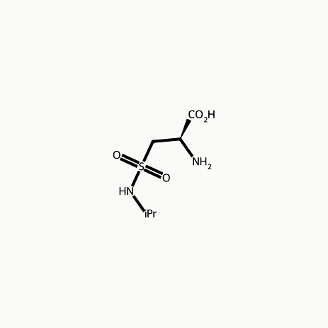 CC(C)NS(=O)(=O)C[C@H](N)C(=O)O